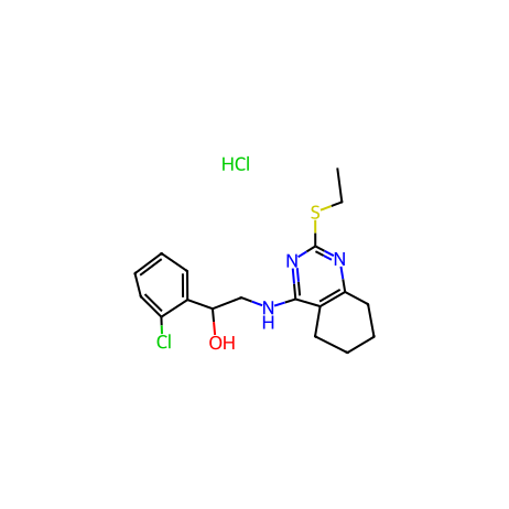 CCSc1nc2c(c(NCC(O)c3ccccc3Cl)n1)CCCC2.Cl